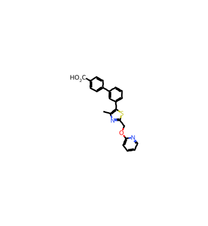 Cc1nc(COc2ccccn2)sc1-c1cccc(-c2ccc(C(=O)O)cc2)c1